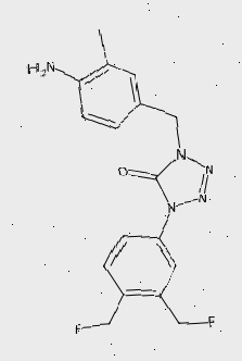 Cc1cc(Cn2nnn(-c3ccc(CF)c(CF)c3)c2=O)ccc1N